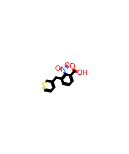 O=C(O)c1cccc(CC2=CC=CSC2)c1[N+](=O)[O-]